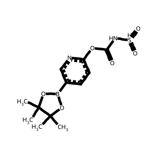 CC1(C)OB(c2ccc(OC(=O)N[SH](=O)=O)nc2)OC1(C)C